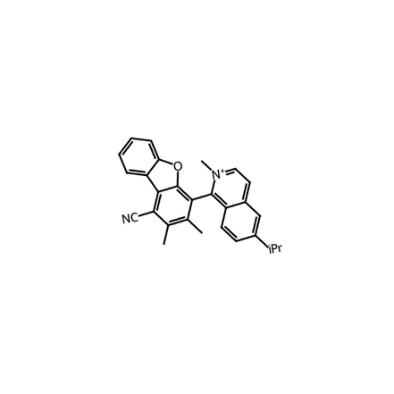 Cc1c(C)c(C#N)c2c(oc3ccccc32)c1-c1c2ccc(C(C)C)cc2cc[n+]1C